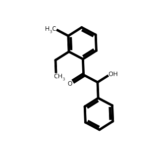 CCc1c(C)cccc1C(=O)C(O)c1ccccc1